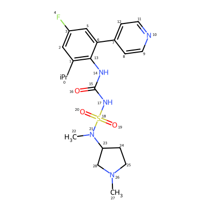 CC(C)c1cc(F)cc(-c2ccncc2)c1NC(=O)NS(=O)(=O)N(C)C1CCN(C)C1